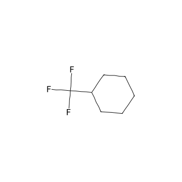 FC(F)(F)C1CCCCC1